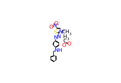 CC(=O)[O-].C[n+]1cc([N+](=O)[O-])sc1/N=N/c1ccc(NCc2ccccc2)cc1